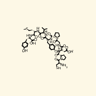 CSCC[C@H](NC(=O)[C@@H](NC(=O)[C@H](Cc1ccc(O)cc1)NC(=O)[C@@H]1CCCN1C(=O)CNC(=O)[C@H](CC(=O)O)NC(=O)[C@@H]1CCCN1C(=O)[C@@H](N)CS)C(C)C)C(=O)N[C@@H](Cc1ccc(O)cc1)C(=O)O